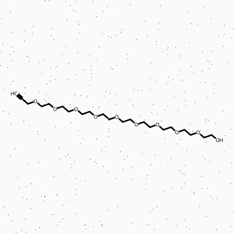 C#CCOCCOCCOCCOCCOCCOCCOCCOCCOCCO